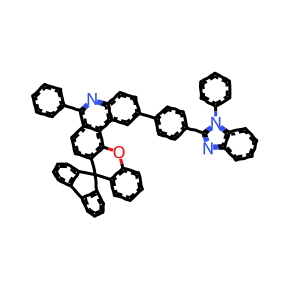 c1ccc(-c2nc3ccc(-c4ccc(-c5nc6ccccc6n5-c5ccccc5)cc4)cc3c3c4c(ccc23)C2(c3ccccc3O4)c3ccccc3-c3ccccc32)cc1